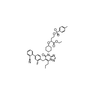 CCCc1c(Cc2ccc(-c3ccccc3C#N)cc2F)c(=O)n([C@H]2CC[C@H](OC(CCOS(=O)(=O)c3ccc(C)cc3)C(=O)OCC)CC2)c2ncnn12